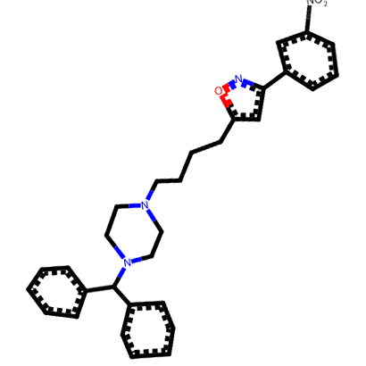 O=[N+]([O-])c1cccc(-c2cc(CCCCN3CCN(C(c4ccccc4)c4ccccc4)CC3)on2)c1